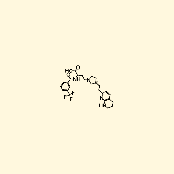 O=C(NC(CCN1CC[C@@H](CCc2ccc3c(n2)NCCC3)C1)C(=O)O)c1cccc(C(F)(F)F)c1